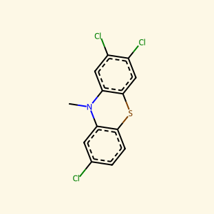 CN1c2cc(Cl)ccc2Sc2cc(Cl)c(Cl)cc21